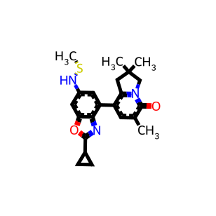 CSNc1cc(-c2cc(C)c(=O)n3c2CC(C)(C)C3)c2nc(C3CC3)oc2c1